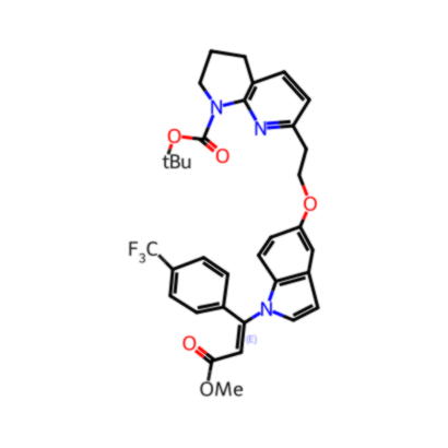 COC(=O)/C=C(\c1ccc(C(F)(F)F)cc1)n1ccc2cc(OCCc3ccc4c(n3)N(C(=O)OC(C)(C)C)CCC4)ccc21